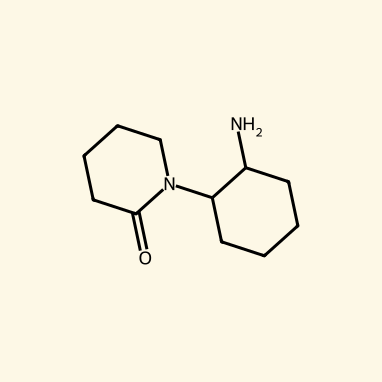 NC1CCCCC1N1CCCCC1=O